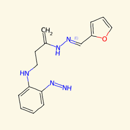 C=C(CCNc1ccccc1N=N)N/N=C/c1ccco1